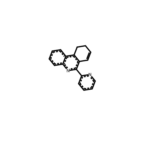 C1=Cc2c(-c3ccccn3)nc3ccccc3c2CC1